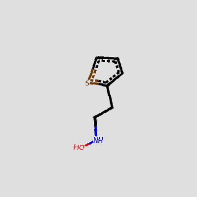 ONCCc1cccs1